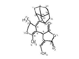 CC=C1C(=O)OC(=O)C1C1=C(C)OC(C)C1=C1C2CC3CC(C2)CC1C3